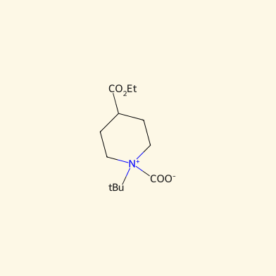 CCOC(=O)C1CC[N+](C(=O)[O-])(C(C)(C)C)CC1